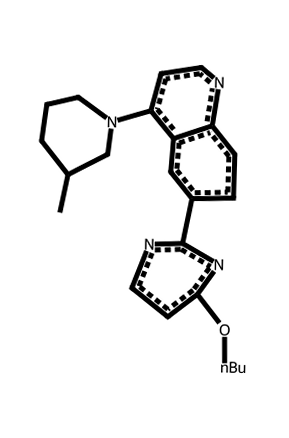 CCCCOc1ccnc(-c2ccc3nccc(N4CCCC(C)C4)c3c2)n1